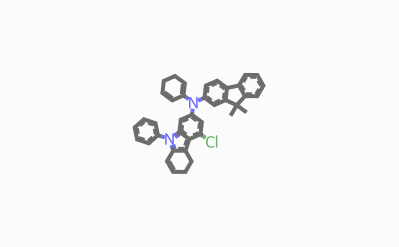 CC1(C)c2ccccc2-c2ccc(N(C3=CCCC=C3)c3cc(Cl)c4c5c(n(-c6ccccc6)c4c3)C=CCC5)cc21